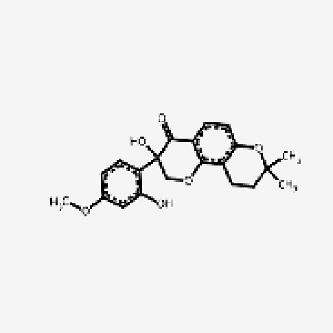 COc1ccc(C2(O)COc3c(ccc4c3CCC(C)(C)O4)C2=O)c(O)c1